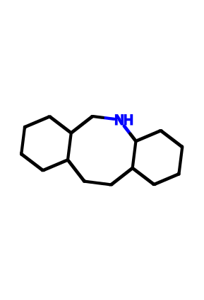 C1CCC2CNC3CCCCC3CCC2C1